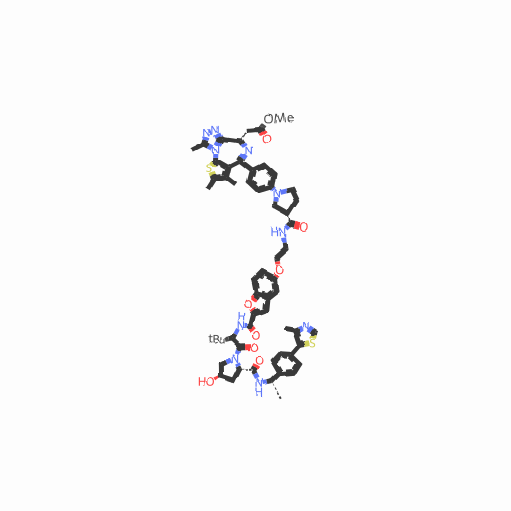 COC(=O)C[C@@H]1N=C(c2ccc(N3CC[C@H](C(=O)NCCOc4ccc5oc(C(=O)NC(C(=O)N6C[C@H](O)C[C@H]6C(=O)N[C@@H](C)c6ccc(-c7scnc7C)cc6)C(C)(C)C)cc5c4)C3)cc2)c2c(sc(C)c2C)-n2c(C)nnc21